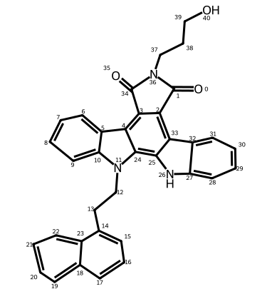 O=C1c2c(c3c4ccccc4n(CCc4cccc5ccccc45)c3c3[nH]c4ccccc4c23)C(=O)N1CCCO